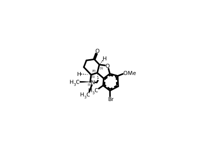 COc1cc(Br)c(C)c2c1O[C@@H]1C(=O)CC[C@@H]3[C@H](C)N(C)CC[C@@]213